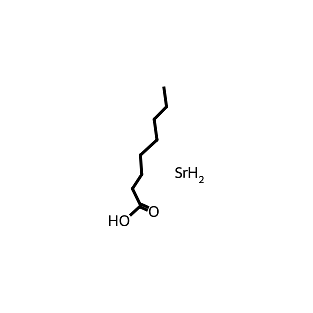 CCCCCCCC(=O)O.[SrH2]